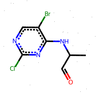 CC(C=O)Nc1nc(Cl)ncc1Br